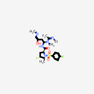 C=N/C=C(/O)CC(NC(=O)[C@@H]1C[C@@H](F)[C@H](C)N1S(=O)(=O)c1ccc(F)cc1)N(C)/C(=N\CC)C(F)(F)F